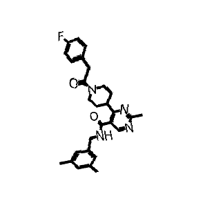 Cc1cc(C)cc(CNC(=O)c2cnc(C)nc2C2CCN(C(=O)Cc3ccc(F)cc3)CC2)c1